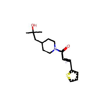 CC(C)(O)CC1CCN(C(=O)/C=C/c2cccs2)CC1